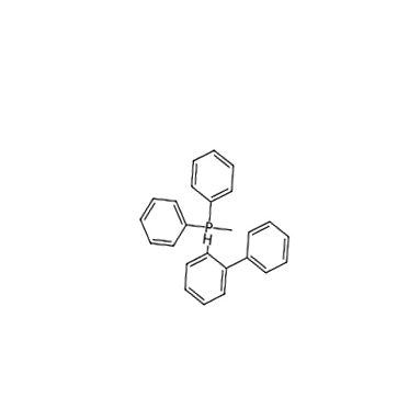 C[PH](c1ccccc1)(c1ccccc1)c1ccccc1-c1ccccc1